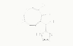 CC/C1=C/SC/C(F)=C\C=C(\C(O)c2ncc[nH]2)C1CC